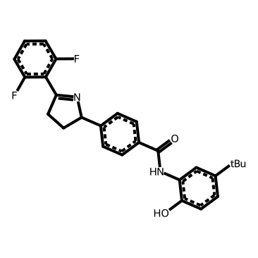 CC(C)(C)c1ccc(O)c(NC(=O)c2ccc(C3CCC(c4c(F)cccc4F)=N3)cc2)c1